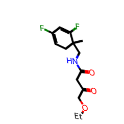 CCOCC(=O)CC(=O)NCC1(C)CC=C(F)C=C1F